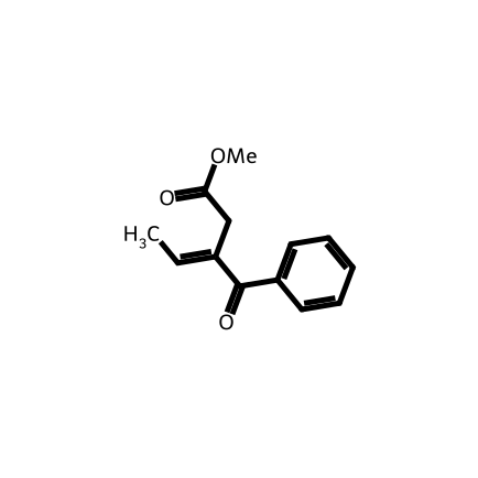 CC=C(CC(=O)OC)C(=O)c1ccccc1